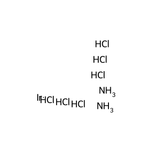 Cl.Cl.Cl.Cl.Cl.Cl.N.N.[Ir]